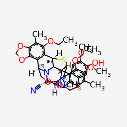 CCOc1c(C)c2c(c3c1[C@H]1SC[C@]4(NCCc5cc(O)c(OC)cc54)C(=O)OC[C@@H]3N3C1[C@@H]1c4c(cc(C)c(OC)c4OCC)C[C@@H]([C@@H]3C#N)N1C)OCO2